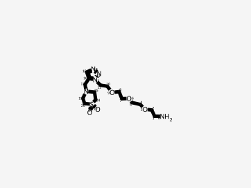 NCCOCCOCCOCCn1nncc1CN1CCS(=O)(=O)CC1